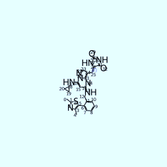 Cc1nc(C)c(-c2ccccc2CNc2cc(NC3CC3)n3ncc(/C=C4\NC(=O)NC4=O)c3n2)s1